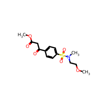 COCCN(C)S(=O)(=O)c1ccc(C(=O)CC(=O)OC)cc1